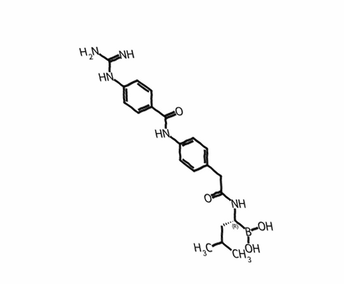 CC(C)C[C@H](NC(=O)Cc1ccc(NC(=O)c2ccc(NC(=N)N)cc2)cc1)B(O)O